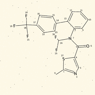 Cc1ncc(C(=O)N(c2ccccc2-c2ccc(C(F)(F)F)cc2)C(F)F)s1